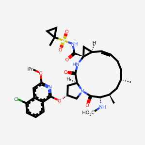 CC(C)Oc1cc2c(Cl)cccc2c(O[C@@H]2C[C@H]3C(=O)N[C@]4(C(=O)NS(=O)(=O)C5(C)CC5)C[C@H]4/C=C\CC[C@H](C)C[C@@H](C)[C@H](NC(=O)O)C(=O)N3C2)n1